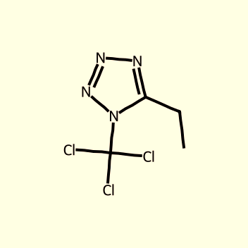 CCc1nnnn1C(Cl)(Cl)Cl